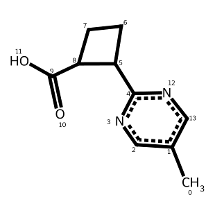 Cc1cnc(C2CCC2C(=O)O)nc1